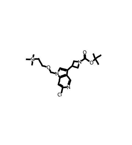 CC(C)(C)OC(=O)N1CC(c2cn(COCC[Si](C)(C)C)c3cc(Cl)ncc23)C1